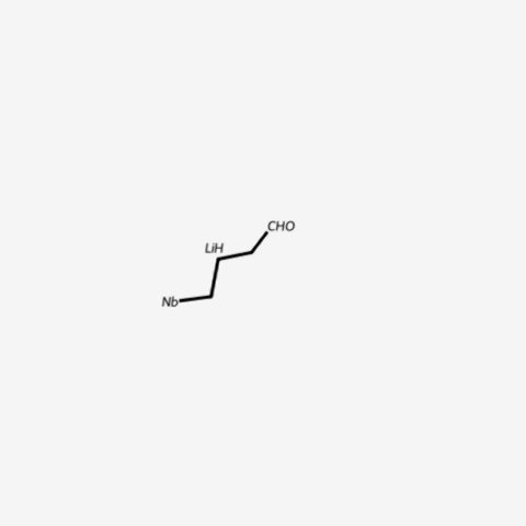 O=CCC[CH2][Nb].[LiH]